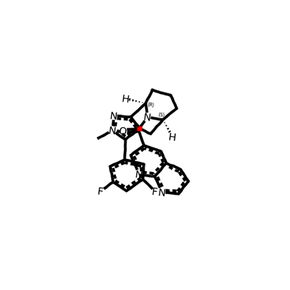 Cn1nc2c(c1-c1cc(F)cc(F)c1)C[C@@H]1CCC[C@H]2N1C(=O)c1cnc2ncccc2c1